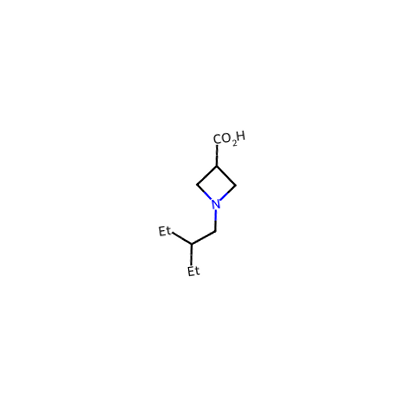 CCC(CC)CN1CC(C(=O)O)C1